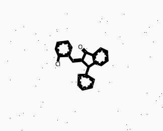 O=C1C(=Cc2ccccc2Cl)C(c2ccccc2)c2ccccc21